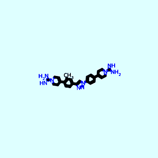 Cc1cc(-c2cn(-c3ccc(C4=CCN(C(=N)N)CC4)cc3)nn2)ccc1C1=CCN(C(=N)N)CC1